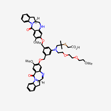 COCCOCCOCCN(CC(C)(C)SCC(=O)O)c1cc(COc2cc3c(cc2OC)C(=O)N2c4ccccc4C[C@@H]2C=N3)cc(COc2cc3c(cc2OC)C(=O)N2c4ccccc4C[C@H]2CN3)c1